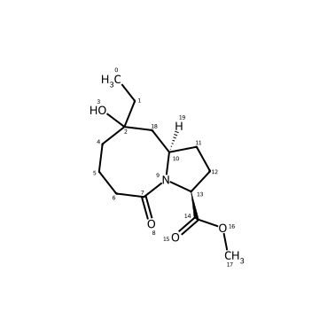 CCC1(O)CCCC(=O)N2[C@H](CC[C@H]2C(=O)OC)C1